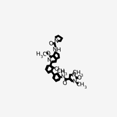 COc1nc(-c2cccc(-c3cccc(NC(=O)C4=CN(C)C(=O)N(C)C4)c3C)c2Cl)cc2c1C(NCC(=O)N1CCCC1)CC2